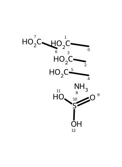 CC(=O)O.CC(=O)O.CC(=O)O.CC(=O)O.N.O=S(O)O